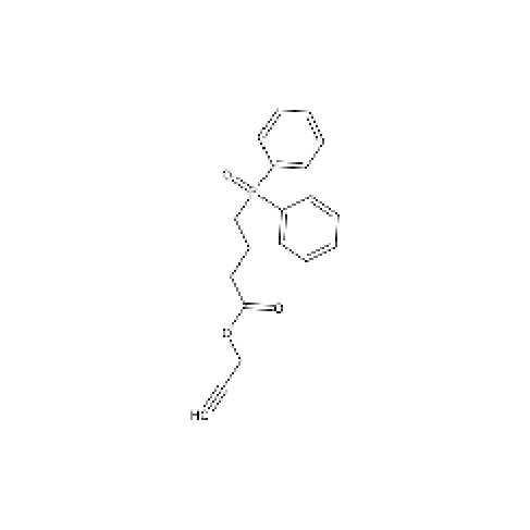 C#CCOC(=O)CCCP(=O)(c1ccccc1)c1ccccc1